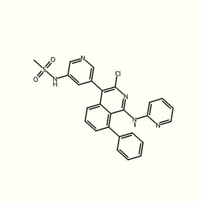 CN(c1ccccn1)c1nc(Cl)c(-c2cncc(NS(C)(=O)=O)c2)c2cccc(-c3ccccc3)c12